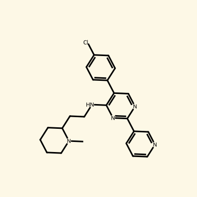 CN1CCCCC1CCNc1nc(-c2cccnc2)ncc1-c1ccc(Cl)cc1